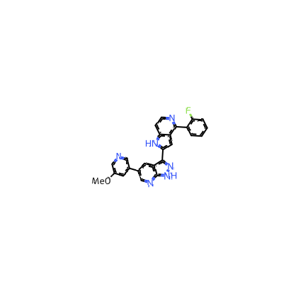 COc1cncc(-c2cnc3[nH]nc(-c4cc5c(-c6ccccc6F)nccc5[nH]4)c3c2)c1